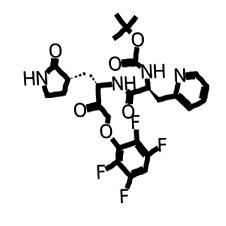 CC(C)(C)OC(=O)N[C@@H](Cc1ccccn1)C(=O)N[C@@H](C[C@@H]1CCNC1=O)C(=O)COc1c(F)c(F)cc(F)c1F